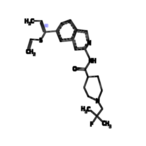 C=CS/C(=C\C)c1ccc2cnc(NC(=O)C3CCN(CC(C)(C)F)CC3)cc2c1